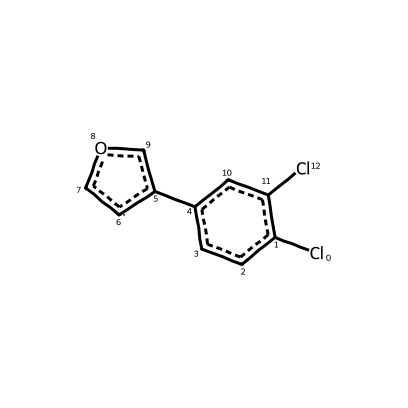 Clc1ccc(-c2[c]coc2)cc1Cl